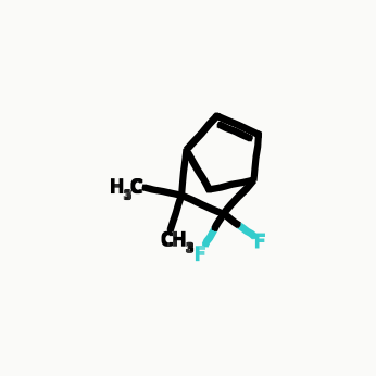 CC1(C)C2C=CC(C2)C1(F)F